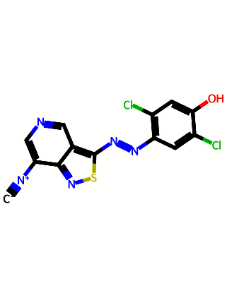 [C-]#[N+]c1cncc2c(/N=N/c3cc(Cl)c(O)cc3Cl)snc12